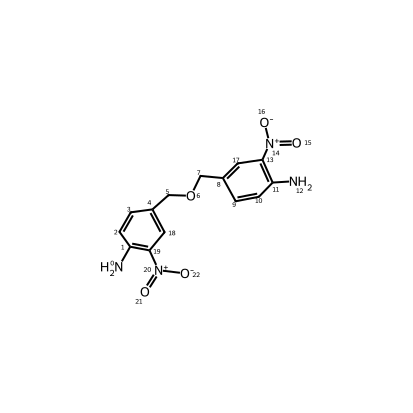 Nc1ccc(COCc2ccc(N)c([N+](=O)[O-])c2)cc1[N+](=O)[O-]